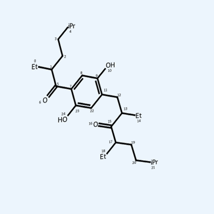 CCC(CCC(C)C)C(=O)c1cc(O)c(CC(CC)C(=O)C(CC)CCC(C)C)cc1O